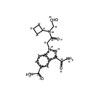 NC(=O)c1ccc2c(c1)c(C(N)=O)nn2CC(=O)N(CC=O)C1CCC1